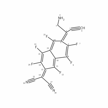 C#C/C(CN)=c1\c(F)c(F)c2c(F)c(=C(C#N)C#N)c(F)c(F)c2c1F